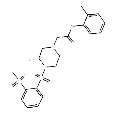 Cc1ccccc1NC(=O)CN1C[C@@H](C)N(S(=O)(=O)c2ccccc2S(C)(=O)=O)[C@@H](C)C1